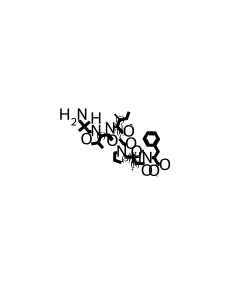 CC[C@H](C)[C@@H]([C@@H](CC(=O)N1CCC[C@H]1[C@H](OC)[C@@H](C)C(=O)NC(Cc1ccccc1)C(=O)OC)OC)N(C)C(=O)[C@@H](NC(=O)C(C)(C)CN)C(C)C